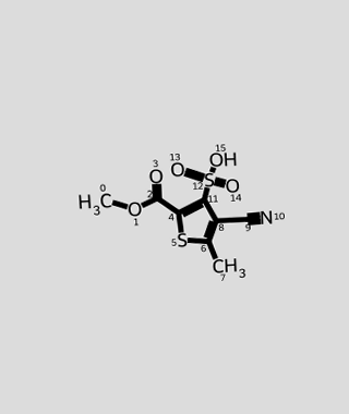 COC(=O)c1sc(C)c(C#N)c1S(=O)(=O)O